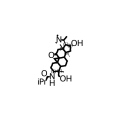 CC(C)C(=O)N[C@H]1CCC23CC24C(=O)C[C@]2(C)[C@@H](C(C)N(C)C)[C@H](O)C[C@@]2(C)C4CCC3[C@]1(C)CO